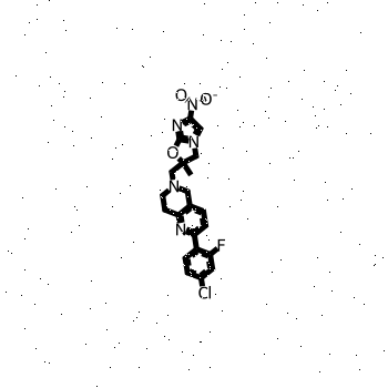 CC1(CN2CCc3nc(-c4ccc(Cl)cc4F)ccc3C2)Cn2cc([N+](=O)[O-])nc2O1